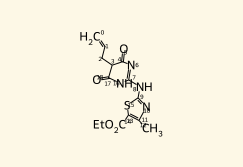 C=CCC1C(=O)N=C(Nc2nc(C)c(C(=O)OCC)s2)NC1=O